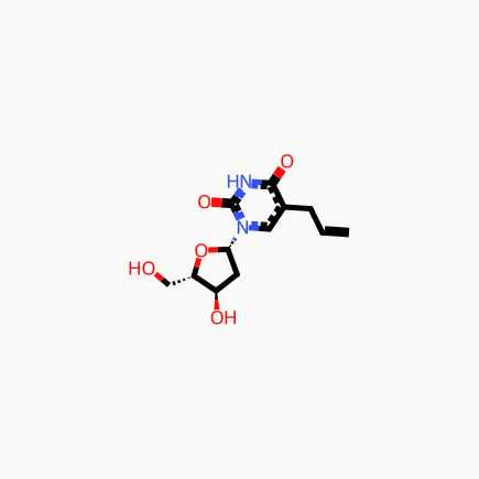 C=CCc1cn([C@@H]2C[C@@H](O)[C@H](CO)O2)c(=O)[nH]c1=O